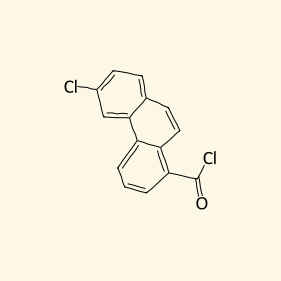 O=C(Cl)c1cccc2c1ccc1ccc(Cl)cc12